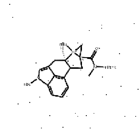 CCCCCN(C)C(=O)[C@@]12CC3c4cccc5c4c(cn5CCCC)C[C@H]3[N+]1(CCCC)C2